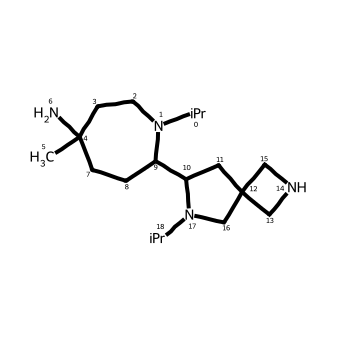 CC(C)N1CCC(C)(N)CCC1C1CC2(CNC2)CN1C(C)C